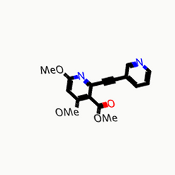 COC(=O)c1c(OC)cc(OC)nc1C#Cc1cccnc1